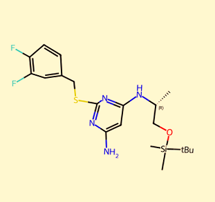 C[C@H](CO[Si](C)(C)C(C)(C)C)Nc1cc(N)nc(SCc2ccc(F)c(F)c2)n1